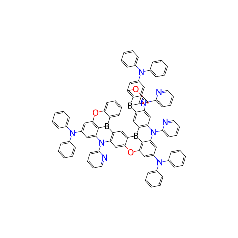 c1ccc(N(c2ccccc2)c2cc3c4c(c2)N(c2ccccn2)c2cc5c(cc2B4c2ccccc2O3)B2c3cc4c(cc3N(c3ccccn3)c3cc(N(c6ccccc6)c6ccccc6)cc(c32)O5)N(c2ccccn2)c2cc(N(c3ccccc3)c3ccccc3)cc3c2B4c2ccccc2O3)cc1